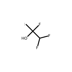 [C]C(O)(F)C(F)F